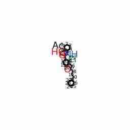 CC(=O)c1cccc(NC(=O)c2ccc3c(c2Cl)CC(CCCc2ccccc2)O3)c1O